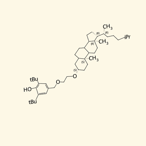 CC(C)CCC[C@@H](C)[C@H]1CCC2C3CCC4C[C@@H](OCCOCc5cc(C(C)(C)C)c(O)c(C(C)(C)C)c5)CC[C@]4(C)C3CC[C@@]21C